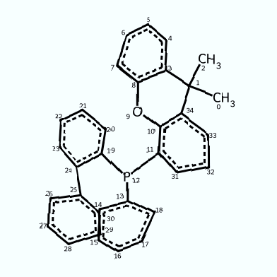 CC1(C)c2ccccc2Oc2c(P(c3ccccc3)c3ccccc3-c3ccccc3)cccc21